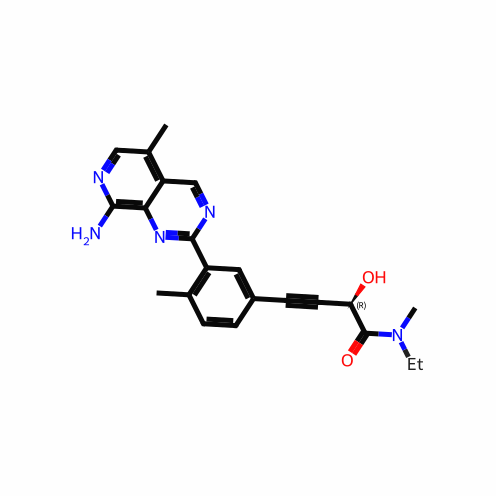 CCN(C)C(=O)[C@H](O)C#Cc1ccc(C)c(-c2ncc3c(C)cnc(N)c3n2)c1